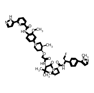 COc1cc(N2CC[C@H](OCC(=O)N[C@H](C(=O)N3CCC[C@H]3C(=O)N[C@@H](CF)c3ccc(-c4ccnn4C)cc3)C(C)(C)C)[C@H](C)C2)ccc1NC(=O)c1cccc(-c2ccn[nH]2)n1